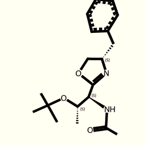 CC(=O)N[C@H](C1=N[C@@H](Cc2ccccc2)CO1)[C@H](C)OC(C)(C)C